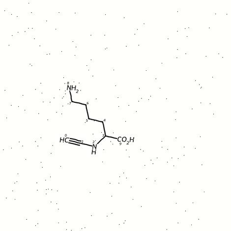 C#CNC(CCCCN)C(=O)O